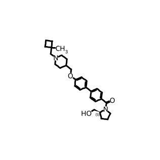 CC1(CN2CCC(COc3ccc(-c4ccc(C(=O)N5CCC[C@H]5CO)cc4)cc3)CC2)CCC1